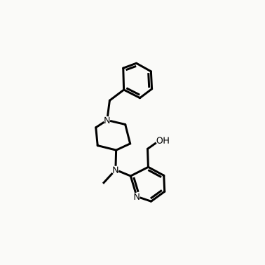 CN(c1ncccc1CO)C1CCN(Cc2ccccc2)CC1